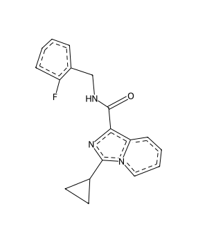 O=C(NCc1ccccc1F)c1nc(C2CC2)n2ccccc12